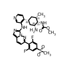 COC(=O)N[C@@H]1[C@H](N)C[C@H](c2ccncc2Nc2ncc3ccc(-c4c(F)cc(S(C)(=O)=O)cc4F)nn23)C[C@@H]1C